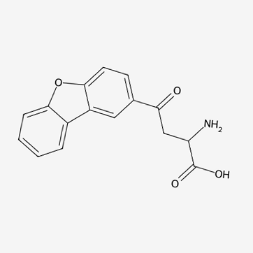 NC(CC(=O)c1ccc2oc3ccccc3c2c1)C(=O)O